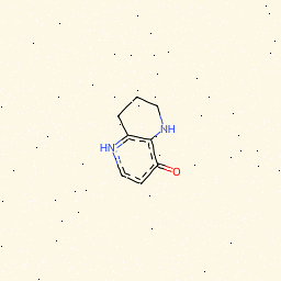 O=c1cc[nH]c2c1NCCC2